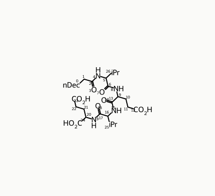 CCCCCCCCCCCC(=O)NC(C(=O)NC(CCC(=O)O)C(=O)NC(C(=O)NC(CCC(=O)O)C(=O)O)C(C)C)C(C)C